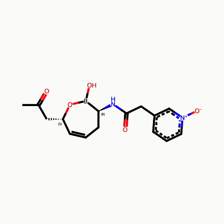 CC(=O)C[C@H]1C=CC[C@H](NC(=O)Cc2ccc[n+]([O-])c2)B(O)O1